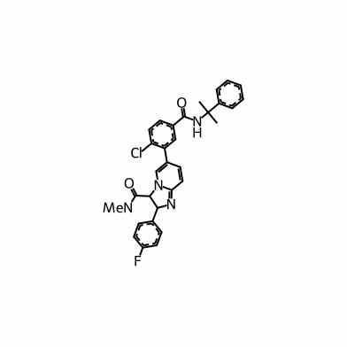 CNC(=O)C1C(c2ccc(F)cc2)N=C2C=CC(c3cc(C(=O)NC(C)(C)c4ccccc4)ccc3Cl)=CN21